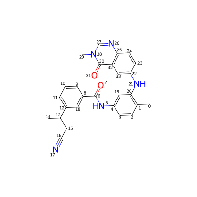 Cc1ccc(NC(=O)c2cccc(C(C)CC#N)c2)cc1Nc1ccc2ncn(C)c(=O)c2c1